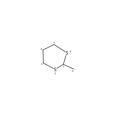 [CH2]C1SCCCS1